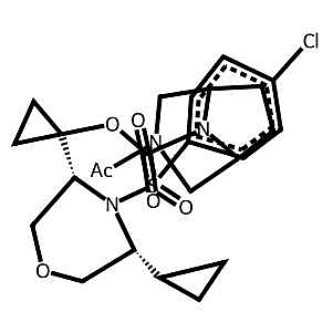 CC(=O)N1CC2CCC(C1)N2C(=O)OC1([C@H]2COC[C@@H](C3CC3)N2S(=O)(=O)c2ccc(Cl)cc2)CC1